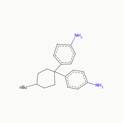 CCCCC1CCC(c2ccc(N)cc2)(c2ccc(N)cc2)CC1